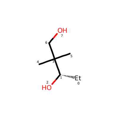 CC[C@H](O)C(C)(C)CO